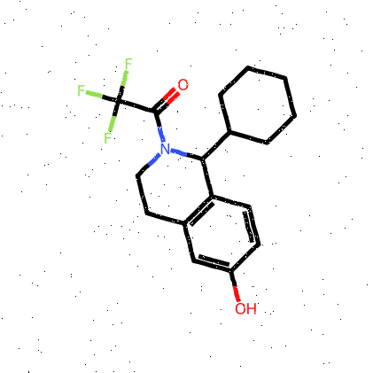 O=C(N1CCc2cc(O)ccc2C1C1CCCCC1)C(F)(F)F